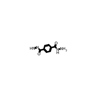 N=NC(=O)c1ccc(C(=O)NN)cc1